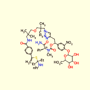 C=C(SC(CC)(CC)NCCC)c1ccc(C(=O)NCC(C)(C)COCC(C)(C)Cn2cc(CC(OC(=O)N(C)[C@H](C(N)=O)C(C)C)c3ccc(OC4OC(C(=O)O)C(O)C(O)C4O)c([N+](=O)[O-])c3)nn2)cc1